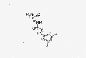 Cc1cc(C)nc(NCC(=O)NCC(N)=O)c1